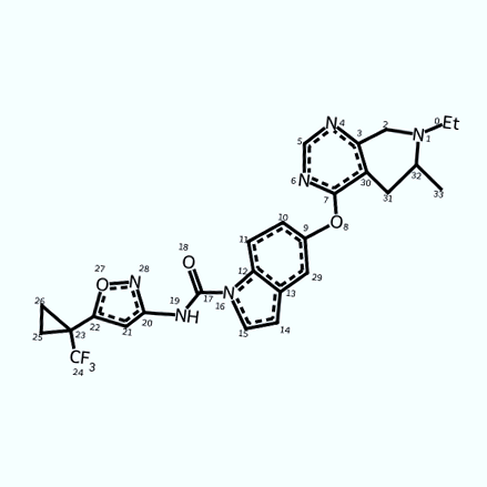 CCN1Cc2ncnc(Oc3ccc4c(ccn4C(=O)Nc4cc(C5(C(F)(F)F)CC5)on4)c3)c2CC1C